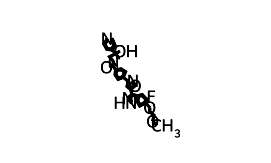 COCCOc1cc2[nH]nc(-c3cc(-c4ccc(C(=O)N5CC(O)(c6ccncc6)C5)cc4)no3)c2cc1F